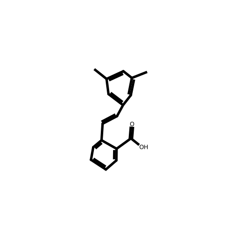 Cc1cc(C)cc(C=Cc2ccccc2C(=O)O)c1